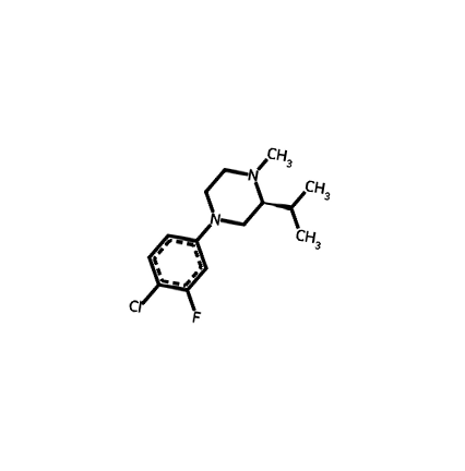 CC(C)[C@H]1CN(c2ccc(Cl)c(F)c2)CCN1C